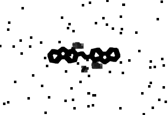 CC(C)(C)c1c(CCc2ccc3c(c2C(C)(C)C)Cc2ccccc2-3)ccc2c1Cc1ccccc1-2.[Zr]